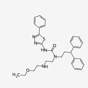 CCOCCNCCN(CCC(c1ccccc1)c1ccccc1)C(=O)Nc1nnc(-c2ccccc2)s1